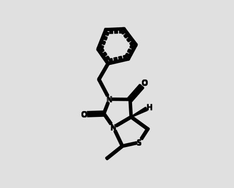 CC1SC[C@H]2C(=O)N(Cc3ccccc3)C(=O)N12